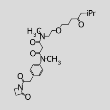 CC(C)CC(=O)CCCOCCN(C)C(=O)CC(=O)N(C)c1ccc(CC(=O)N2CCC2=O)cc1